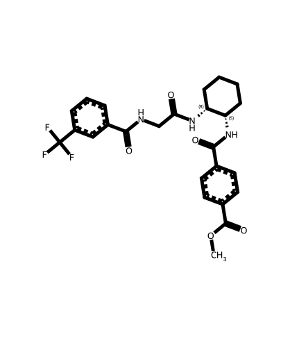 COC(=O)c1ccc(C(=O)N[C@H]2CCCC[C@H]2NC(=O)CNC(=O)c2cccc(C(F)(F)F)c2)cc1